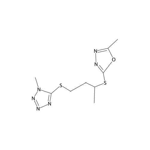 Cc1nnc(SC(C)CCSc2nnnn2C)o1